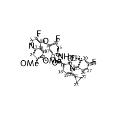 COc1cc2ncc(F)c(Oc3ccc(NC(=O)c4ccc(C5CC5)n(-c5ccc(F)cc5Cl)c4=O)cc3F)c2cc1OC